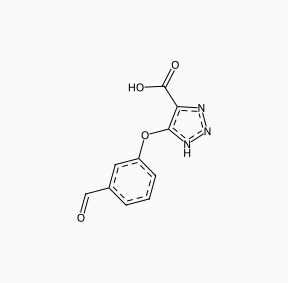 O=Cc1cccc(Oc2[nH]nnc2C(=O)O)c1